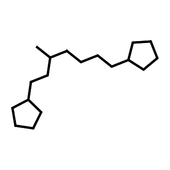 CC([CH]CCCC1CCCC1)CCC1CCCC1